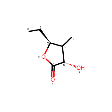 CC[C@@H]1OC(=O)[C@@H](O)C1C